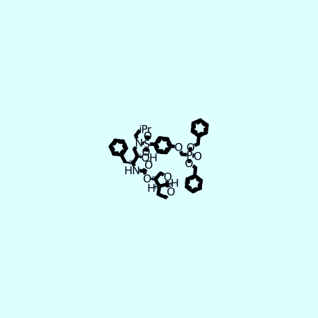 CC(C)CN(C[C@@H](O)[C@H](Cc1ccccc1)NC(=O)O[C@H]1CO[C@H]2OCC[C@H]21)S(=O)(=O)c1ccc(OCP(=O)(OCc2ccccc2)OCc2ccccc2)cc1